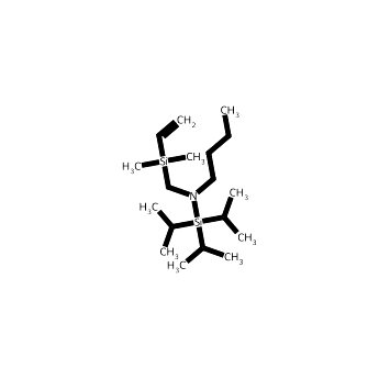 C=C[Si](C)(C)CN(CCCC)[Si](C(C)C)(C(C)C)C(C)C